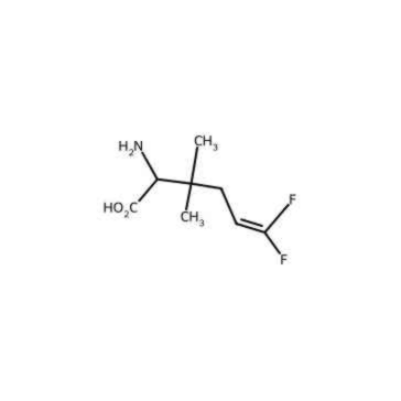 CC(C)(CC=C(F)F)C(N)C(=O)O